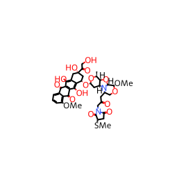 COc1cccc2c1C(=O)c1c(O)c3c(c(O)c1C2=O)C[C@@](O)(C(=O)CO)C[C@@H]3O[C@H]1C[C@H]2[C@H](O[C@@H]3[C@@H](OC)OCC(CC(=O)CN4C(=O)CC(SC)C4=O)N32)[C@H](C)O1